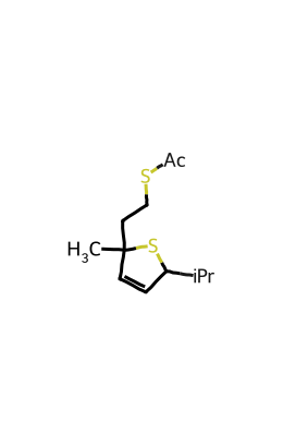 CC(=O)SCCC1(C)C=CC(C(C)C)S1